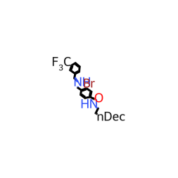 CCCCCCCCCCCCNC(=O)c1ccc(CNCc2cccc(C(F)(F)F)c2)c(Br)c1